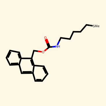 CSCCCCCNC(=O)OCc1c2ccccc2cc2ccccc12